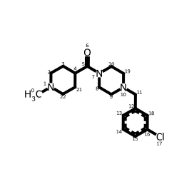 CN1CCC(C(=O)N2CCN(Cc3cccc(Cl)c3)CC2)CC1